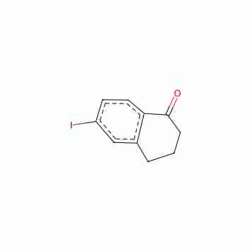 O=C1CCCc2cc(I)ccc21